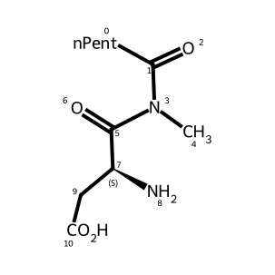 CCCCCC(=O)N(C)C(=O)[C@@H](N)CC(=O)O